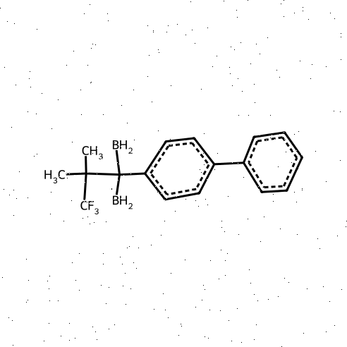 BC(B)(c1ccc(-c2ccccc2)cc1)C(C)(C)C(F)(F)F